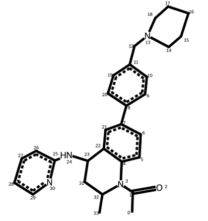 CC(=O)N1c2ccc(-c3ccc(CN4CCCCC4)cc3)cc2C(Nc2ccccn2)CC1C